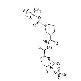 CC(C)(C)OC(=O)N1CCC[C@@H](C(=O)NNC(=O)[C@@H]2CC[C@H]3CN2C(=O)N3OS(=O)(=O)O)C1